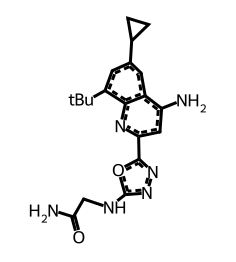 CC(C)(C)c1cc(C2CC2)cc2c(N)cc(-c3nnc(NCC(N)=O)o3)nc12